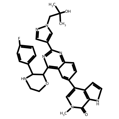 Cn1cc(-c2ccc3nc(-c4cnn(CC(C)(C)O)c4)nc(C4OCCNC4c4ccc(F)cc4)c3c2)c2cc[nH]c2c1=O